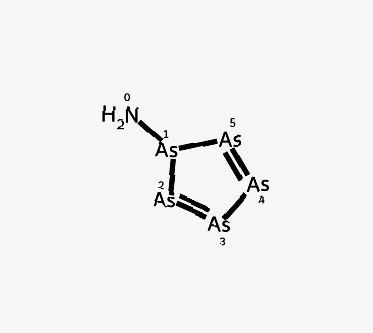 N[As]1[As]=[As][As]=[As]1